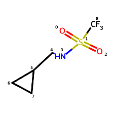 O=S(=O)(NCC1CC1)C(F)(F)F